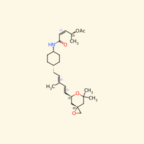 CC(=O)O[C@@H](C)/C=C\C(=O)N[C@H]1CC[C@H](C/C=C(C)/C=C/[C@@H]2C[C@]3(CO3)CC(C)(C)O2)CC1